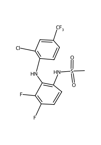 CS(=O)(=O)Nc1ccc(F)c(F)c1Nc1ccc(C(F)(F)F)cc1Cl